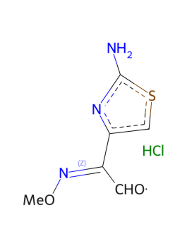 CO/N=C(\[C]=O)c1csc(N)n1.Cl